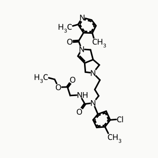 CCOC(=O)CNC(=O)N(CCCN1CC2=CN(C(=O)c3c(C)ccnc3C)CC2C1)c1ccc(C)c(Cl)c1